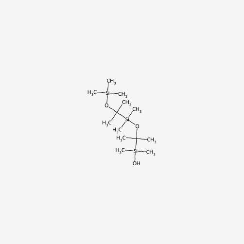 CC(C)(O[Si](C)(C)C(C)(C)O[Si](C)(C)C)[Si](C)(C)O